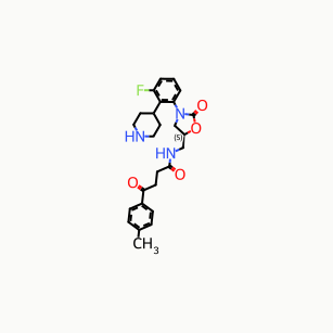 Cc1ccc(C(=O)CCC(=O)NC[C@H]2CN(c3cccc(F)c3C3CCNCC3)C(=O)O2)cc1